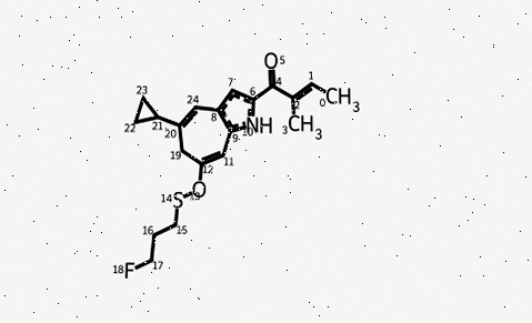 C/C=C(\C)C(=O)c1cc2c([nH]1)C=C(OSCCCF)CC(C1CC1)=C2